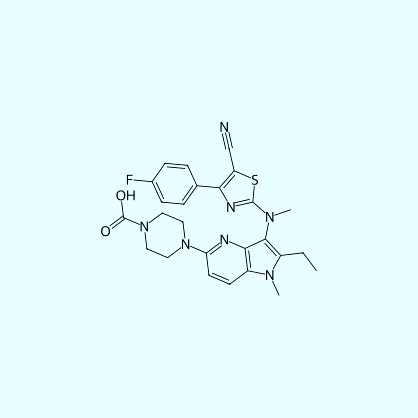 CCc1c(N(C)c2nc(-c3ccc(F)cc3)c(C#N)s2)c2nc(N3CCN(C(=O)O)CC3)ccc2n1C